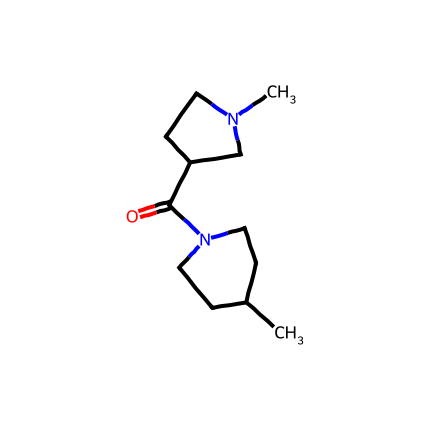 CC1CCN(C(=O)C2CCN(C)C2)CC1